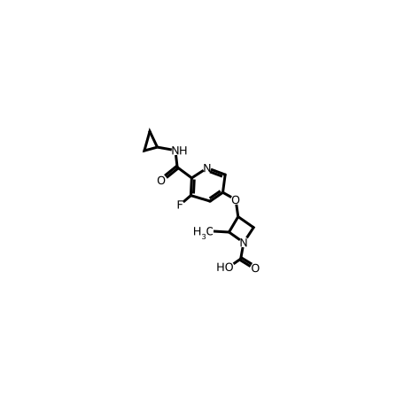 CC1C(Oc2cnc(C(=O)NC3CC3)c(F)c2)CN1C(=O)O